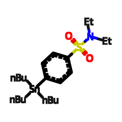 CCC[CH2][Sn]([CH2]CCC)([CH2]CCC)[c]1ccc(S(=O)(=O)N(CC)CC)cc1